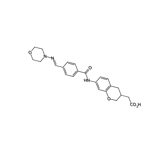 O=C(O)CC1COc2cc(NC(=O)c3ccc(C=NN4CCOCC4)cc3)ccc2C1